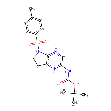 Cc1ccc(S(=O)(=O)N2CCc3nc(NC(=O)OC(C)(C)C)cnc32)cc1